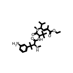 CCOC(=O)/C(C)=C/C(C(C)C)N(C)C(=O)C(NC(=O)C(NC)C(C)(C)c1cccc(N)c1)C(C)(C)C